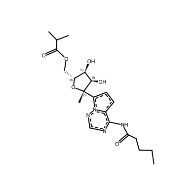 CCCCC(=O)Nc1ncnn2c([C@]3(C)O[C@H](COC(=O)C(C)C)[C@@H](O)[C@H]3O)ccc12